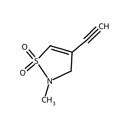 C#CC1=CS(=O)(=O)N(C)C1